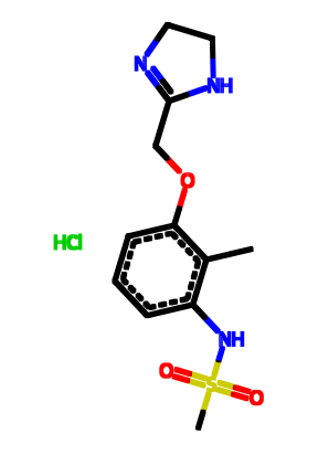 Cc1c(NS(C)(=O)=O)cccc1OCC1=NCCN1.Cl